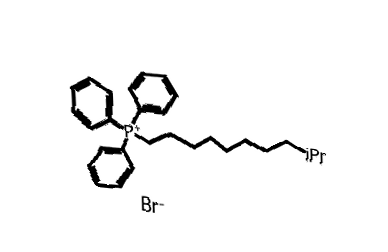 CC(C)CCCCCCCC[P+](c1ccccc1)(c1ccccc1)c1ccccc1.[Br-]